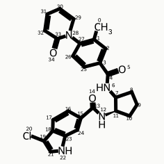 Cc1cc(C(=O)NC2CCC[C@H]2NC(=O)c2ccc3c(Cl)c[nH]c3c2)ccc1-n1ccccc1=O